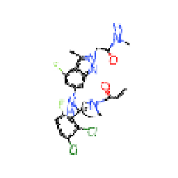 C=CC(=O)N1CC[C@](Nc2cc(F)c3c(C)n(CC(=O)NC)nc3c2)(c2c(F)ccc(Cl)c2Cl)C1